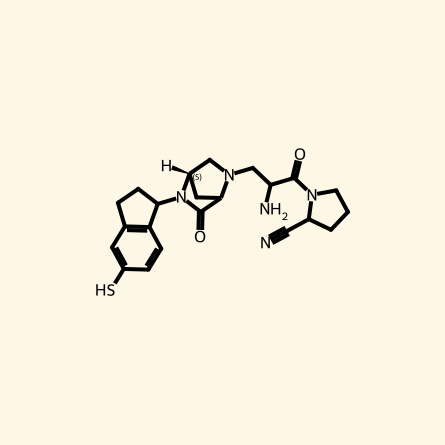 N#CC1CCCN1C(=O)C(N)CN1C[C@@H]2CC1C(=O)N2C1CCc2cc(S)ccc21